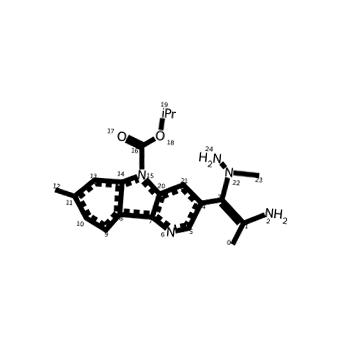 C/C(N)=C(\c1cnc2c3ccc(C)cc3n(C(=O)OC(C)C)c2c1)N(C)N